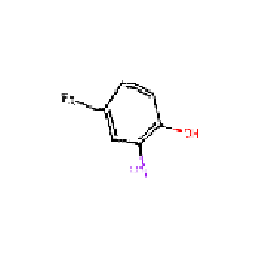 CCc1ccc(O)c([123I])c1